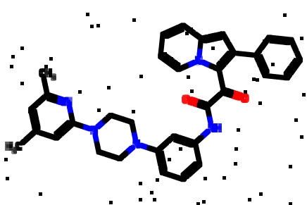 Cc1cc(C)nc(N2CCN(c3cccc(NC(=O)C(=O)c4c(-c5ccccc5)cc5ccccn45)c3)CC2)c1